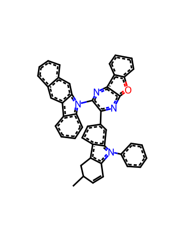 CC1C=Cc2c(c3ccc(-c4nc5oc6ccccc6c5nc4-n4c5ccccc5c5cc6ccccc6cc54)cc3n2-c2ccccc2)C1